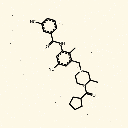 Cc1c(CN2CCN(C(=O)C3CCCC3)C(C)C2)cc(C#N)cc1NC(=O)c1cccc(C#N)c1